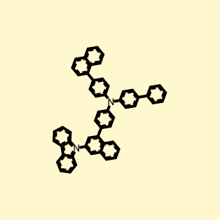 c1ccc(-c2ccc(N(c3ccc(-c4cccc5ccccc45)cc3)c3ccc(-c4cc(-n5c6ccccc6c6ccccc65)cc5ccccc45)cc3)cc2)cc1